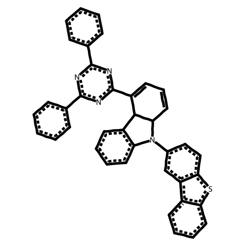 C1=CC2C(C(c3nc(-c4ccccc4)nc(-c4ccccc4)n3)=C1)c1ccccc1N2c1ccc2sc3ccccc3c2c1